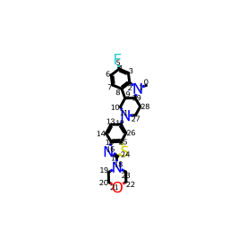 CN1c2cc(F)ccc2C2CN(c3ccc4nc(N5CCOCC5)sc4c3)CCC21